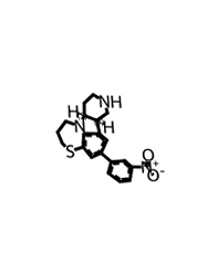 O=[N+]([O-])c1cccc(-c2cc3c4c(c2)[C@@H]2CNCC[C@@H]2N4CCCS3)c1